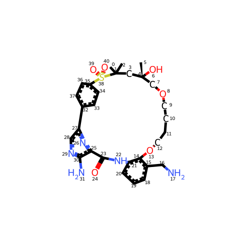 CC1(C)C[C@](C)(O)COCCCCOc2c(CN)cccc2NC(=O)c2nc(cnc2N)-c2ccc(cc2)S1(=O)=O